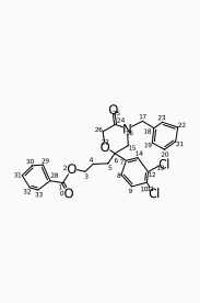 O=C(OCCCC1(c2ccc(Cl)c(Cl)c2)CN(Cc2ccccc2)C(=O)CO1)c1ccccc1